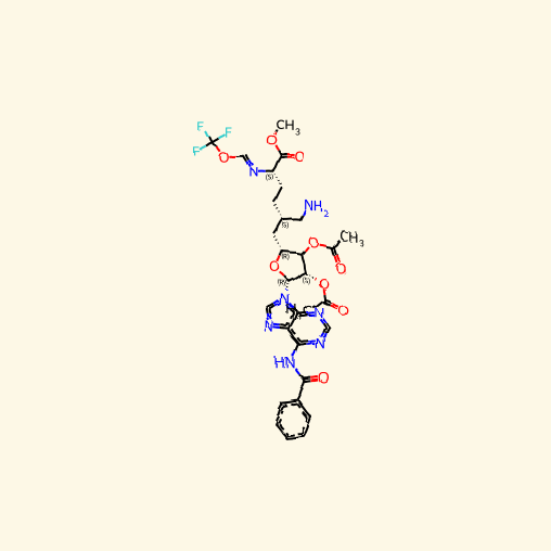 COC(=O)[C@H](CC[C@H](CN)C[C@H]1O[C@@H](n2cnc3c(NC(=O)c4ccccc4)ncnc32)[C@@H](OC(C)=O)C1OC(C)=O)N=COC(F)(F)F